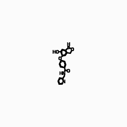 O=C(NCc1ccccn1)c1ccc(Oc2cc3c(cc2O)BOC3)cc1